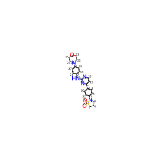 O=S1(=O)CCCN1c1ccc(-c2ccnc(Nc3ccc(N4CCOCC4)cc3)n2)cc1